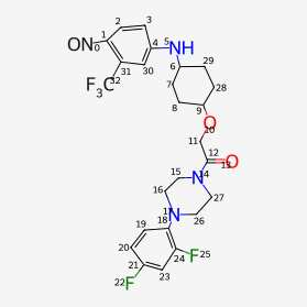 O=Nc1ccc(NC2CCC(OCC(=O)N3CCN(c4ccc(F)cc4F)CC3)CC2)cc1C(F)(F)F